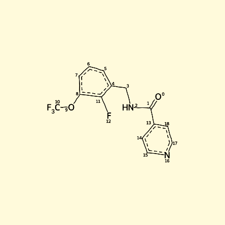 O=C(NCc1cccc(OC(F)(F)F)c1F)c1ccncc1